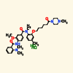 COc1cc(C(=O)N(C)c2ccc(C)cc2OCCCCCC(=O)N2CCN(C)CC2)ccc1NC(=O)c1ccccc1N(C)C.Cl.Cl